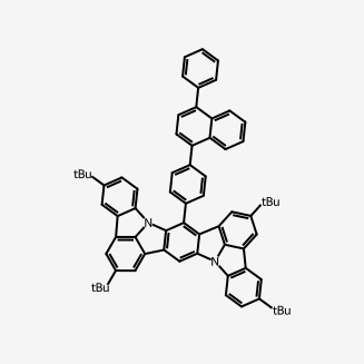 CC(C)(C)c1ccc2c(c1)c1cc(C(C)(C)C)cc3c4c(-c5ccc(-c6ccc(-c7ccccc7)c7ccccc67)cc5)c5c(cc4n2c13)c1cc(C(C)(C)C)cc2c3cc(C(C)(C)C)ccc3n5c21